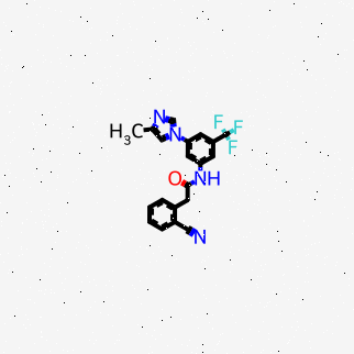 Cc1cn(-c2cc(NC(=O)Cc3ccccc3C#N)cc(C(F)(F)F)c2)cn1